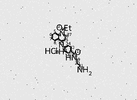 CCC(=O)N1c2ccccc2[C@H](Nc2ccc(C(=O)NCCCN)cc2)C[C@H]1C.Cl